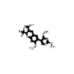 COc1ncc(-c2cc3c(cc2OC)OC(C(F)(F)F)C(C(=O)O)=C3)c(OC)n1